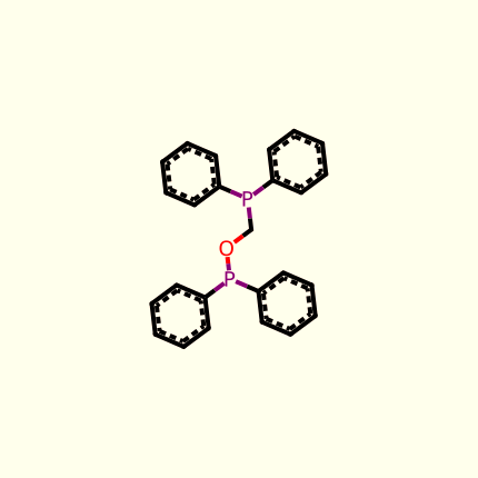 c1ccc(P(COP(c2ccccc2)c2ccccc2)c2ccccc2)cc1